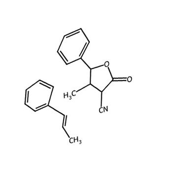 CC1C(C#N)C(=O)OC1c1ccccc1.CC=Cc1ccccc1